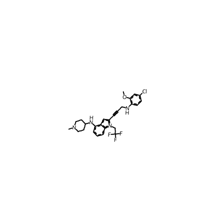 COc1cc(Cl)ccc1NCC#Cc1cc2c(NC3CCN(C)CC3)cccc2n1CC(F)(F)F